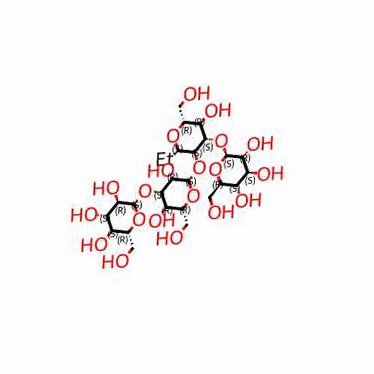 CC[C@@H]1O[C@H](CO)[C@@H](O)[C@H](O[C@@H]2O[C@H](CO)[C@@H](O)[C@H](O)[C@H]2O)[C@H]1O[C@@H]1O[C@H](CO)[C@@H](O)[C@H](O[C@@H]2O[C@H](CO)[C@@H](O)[C@H](O)[C@H]2O)[C@H]1O